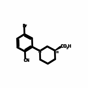 N#Cc1ccc(Br)cc1N1CCC[C@H](C(=O)O)C1